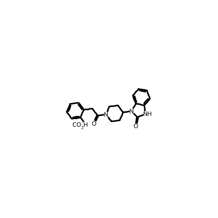 O=C(O)c1ccccc1CC(=O)N1CCC(n2c(=O)[nH]c3ccccc32)CC1